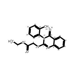 CCOC(=O)CSc1nc2ccccc2c(=O)n1-c1ccccc1C